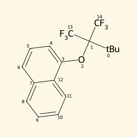 CC(C)(C)C(Oc1cccc2ccccc12)(C(F)(F)F)C(F)(F)F